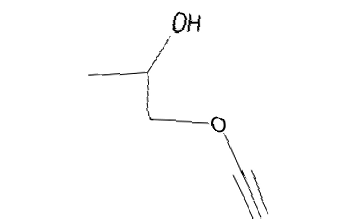 C#COCC(C)O